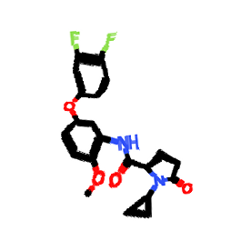 COc1ccc(Oc2ccc(F)c(F)c2)cc1NC(=O)C1CCC(=O)N1C1CC1